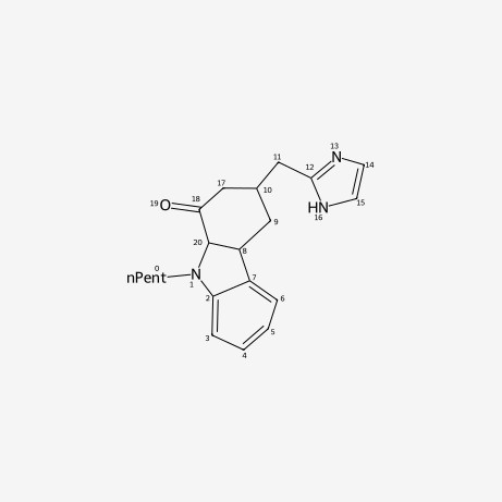 CCCCCN1c2ccccc2C2CC(Cc3ncc[nH]3)CC(=O)C21